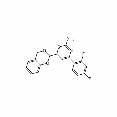 NC1=NC(c2ccc(F)cc2F)=CC(C2OCc3ccccc3O2)S1